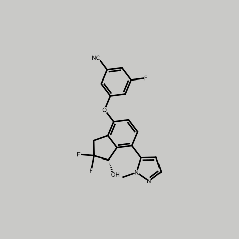 Cn1nccc1-c1ccc(Oc2cc(F)cc(C#N)c2)c2c1[C@H](O)C(F)(F)C2